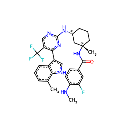 CNc1ccc(C(=O)N[C@@]2(C)CCC[C@@H](Nc3ncc(C(F)(F)F)c(-c4c[nH]c5c(C)cccc45)n3)C2)cc1F